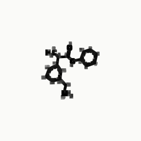 CC(C(=O)Oc1ccccc1)c1cccc(CN)c1